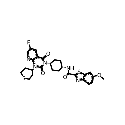 COc1ccc2nc(C(=O)N[C@H]3CC[C@@H](n4c(=O)c5cc(F)cnc5n(C5CCSCC5)c4=O)CC3)sc2c1